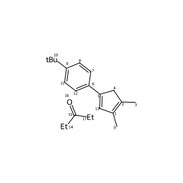 CC1=C(C)CC(c2ccc(C(C)(C)C)cc2)=C1.CCC(=O)CC